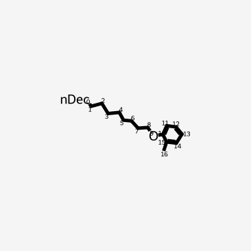 CCCCCCCCCCCCCCCCCCOc1ccccc1C